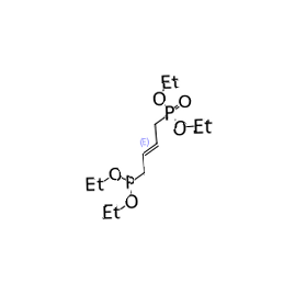 CCOP(C/C=C/CP(=O)(OCC)OCC)OCC